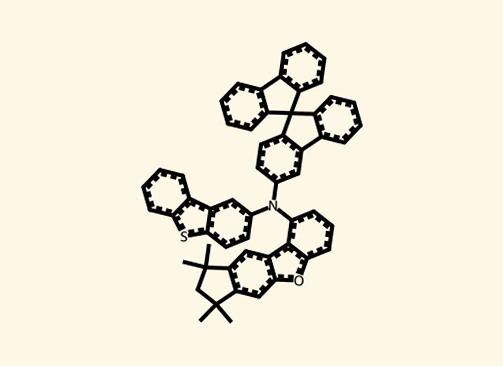 CC1(C)CC(C)(C)c2cc3c(cc21)oc1cccc(N(c2ccc4c(c2)-c2ccccc2C42c4ccccc4-c4ccccc42)c2ccc4sc5ccccc5c4c2)c13